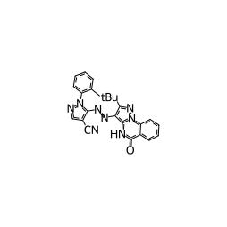 Cc1ccccc1-n1ncc(C#N)c1/N=N/c1c(C(C)(C)C)nn2c1[nH]c(=O)c1ccccc12